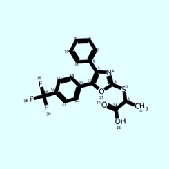 CC(Sc1nc(-c2ccccc2)c(-c2ccc(C(F)(F)F)cc2)o1)C(=O)O